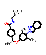 CCC[C@H](Oc1cc(C)c(-n2cc3ccccc3n2)c(C)c1)c1ccc(C(=O)NCCC(=O)O)cc1